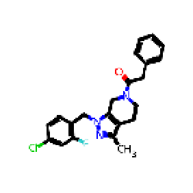 Cc1nn(Cc2ccc(Cl)cc2F)c2c1CCN(C(=O)Cc1ccccc1)C2